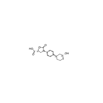 O=C(O)[C@H]1CN(c2ccc([C@@H]3CCS[C@@H](O)C3)cc2)C(=O)O1